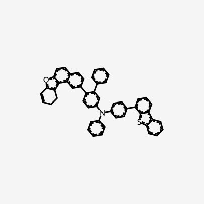 C1=Cc2oc3ccc4ccc(-c5ccc(N(c6ccccc6)c6ccc(-c7cccc8c7sc7ccccc78)cc6)cc5-c5ccccc5)cc4c3c2CC1